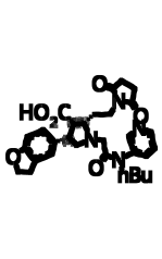 CCCCN(C(=O)CN1C[C@H](c2ccc3c(c2)CCO3)[C@@H](C(=O)O)[C@@H]1CCN1C(=O)CCC1=O)c1cccnc1